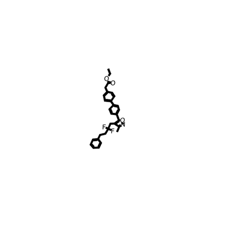 CCOC(=O)Cc1ccc(-c2ccc(-c3onc(C)c3CC(F)(F)CCc3ccccc3)cc2)cc1